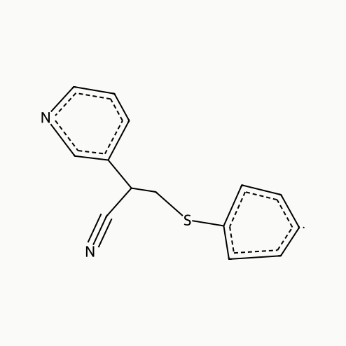 N#CC(CSc1cc[c]cc1)c1cccnc1